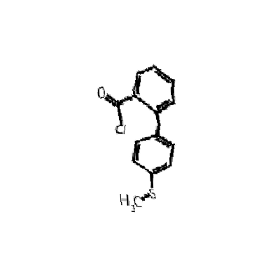 CSc1ccc(-c2ccccc2C(=O)Cl)cc1